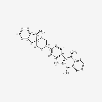 C=C(c1ccccc1CO)c1n[nH]c2nc(N3CCC4(CC3)Cc3ccccc3[C@H]4N)cnc12